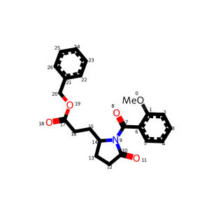 COc1ccccc1C(=O)N1C(=O)CCC1CCC(=O)OCc1ccccc1